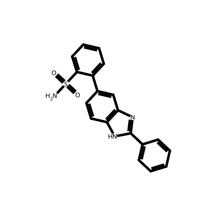 NS(=O)(=O)c1ccccc1-c1ccc2[nH]c(-c3ccccc3)nc2c1